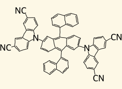 N#Cc1ccc2c(c1)c1cc(C#N)ccc1n2-c1ccc2c(-c3cccc4ccccc34)c3cc(-n4c5ccc(C#N)cc5c5cc(C#N)ccc54)ccc3c(-c3cccc4ccccc34)c2c1